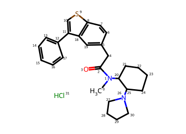 CN(C(=O)Cc1ccc2scc(-c3ccccc3)c2c1)C1CCCCC1N1CCCC1.Cl